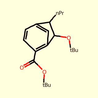 CCCC1c2ccc(C(=O)OC(C)(C)C)c(c2)C1OC(C)(C)C